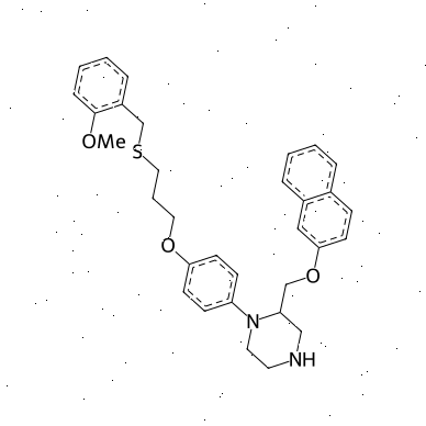 COc1ccccc1CSCCCOc1ccc(N2CCNCC2COc2ccc3ccccc3c2)cc1